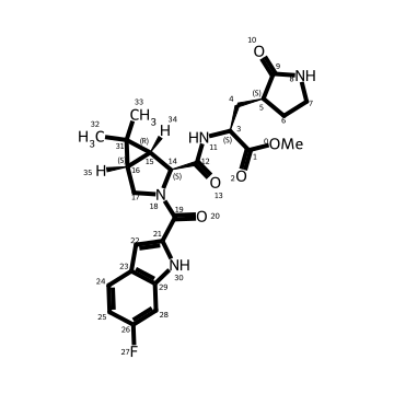 COC(=O)[C@H](C[C@@H]1CCNC1=O)NC(=O)[C@@H]1[C@@H]2[C@H](CN1C(=O)c1cc3ccc(F)cc3[nH]1)C2(C)C